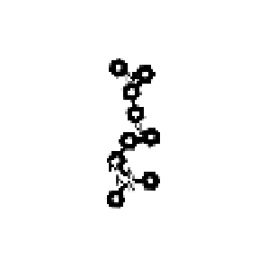 c1ccc(-c2nc(-c3ccccc3)nc(-c3cc(-c4ccc5c(c4)c4ccccc4n5-c4ccc(-c5ccc6c(c5)c5ccccc5n6-c5ccccc5)cc4)ccn3)n2)cc1